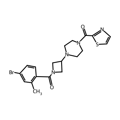 Cc1cc(Br)ccc1C(=O)N1CC(N2CCN(C(=O)c3nccs3)CC2)C1